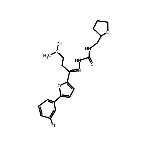 CN(C)CC/C(=N\NC(=S)NCC1CCCO1)c1ccc(-c2cccc(Cl)c2)o1